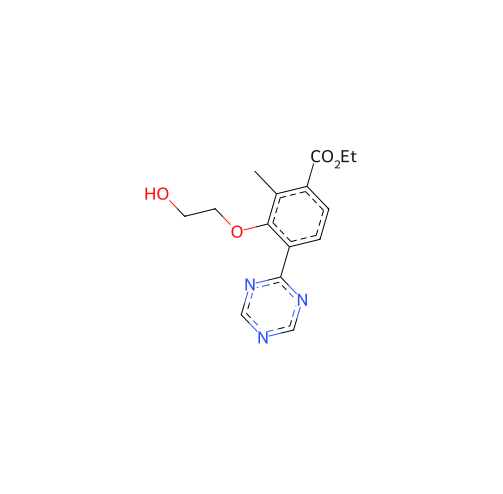 CCOC(=O)c1ccc(-c2ncncn2)c(OCCO)c1C